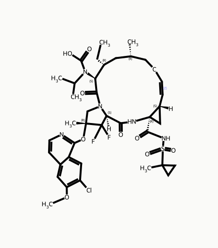 CC[C@@H]1C[C@H](C)CC/C=C\[C@@H]2C[C@@]2(C(=O)NS(=O)(=O)C2(C)CC2)NC(=O)[C@@H]2N(C[C@@](C)(Oc3nccc4cc(OC)c(Cl)cc34)C2(F)F)C(=O)[C@H]1N(C(=O)O)C(C)C